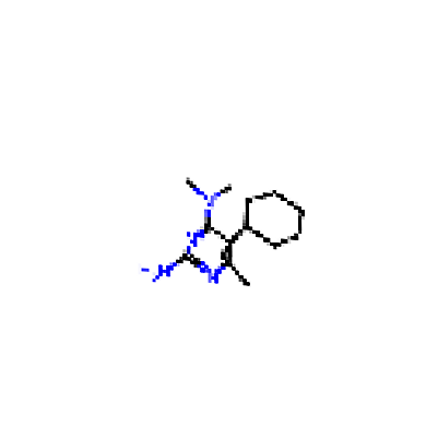 Cc1nc(N)nc(N(C)C)c1C1CCCCC1